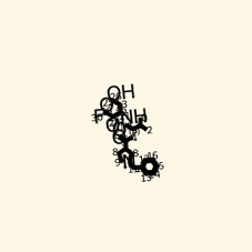 CC(C)[C@H](CC(=O)C1CCN(Cc2ccccc2)C1)C(=O)NC(CC(=O)O)C(=O)CF